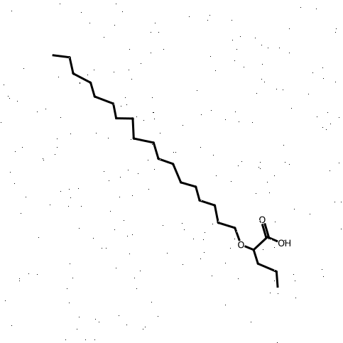 CCCCCCCCCCCCCCCCCCOC(CCC)C(=O)O